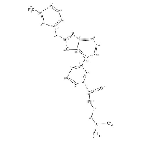 C[S+]([O-])CCNC(=O)c1cccc(-c2cccc3cc(Cc4cccc(C(F)(F)F)c4)oc23)c1